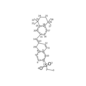 CCS(=O)(=O)c1ccc2c(c1)C=CC(=Cc1ccc3c(c1)C(C)(C)CCC3(C)C)C2